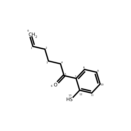 C=CCCCC(=O)c1ccccc1S